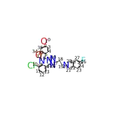 COc1ccc(-c2nc3c(Cl)cccc3c3nc(CCN4Cc5ccc(F)cc5C4)nn23)c(OC)c1